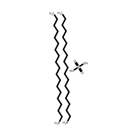 CCCCCCCCCCCCCCCCCCN.CCCCCCCCCCCCCCCCCCN.O=S(=O)(O)O